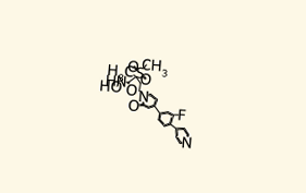 CC(CCn1ccc(-c2ccc(-c3ccncc3)c(F)c2)cc1=O)(C(=O)NO)S(C)(=O)=O